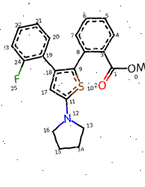 COC(=O)c1ccccc1-c1sc(N2CCCC2)cc1-c1ccccc1F